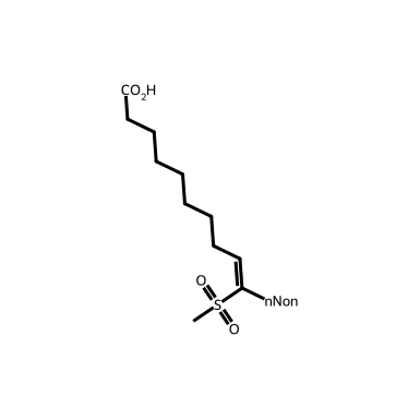 CCCCCCCCCC(=CCCCCCCCC(=O)O)S(C)(=O)=O